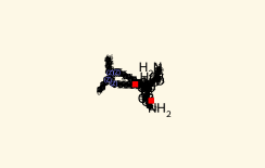 CCCCC/C=C\C/C=C\CCCCCCCCC1(CCCCCCCC/C=C\C/C=C\CCCCC)O[C@H]2[C@H](O1)[C@@H](COP(=O)(O)OCCN)O[C@H]2COP(=O)(OC)OCCN